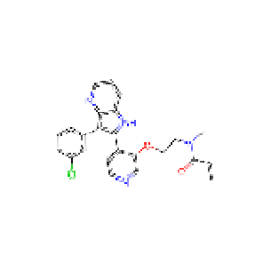 C=CC(=O)N(C)CCOc1cnccc1-c1[nH]c2cccnc2c1-c1cccc(Cl)c1